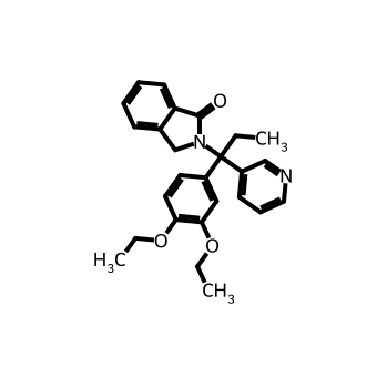 CCOc1ccc(C(CC)(c2cccnc2)N2Cc3ccccc3C2=O)cc1OCC